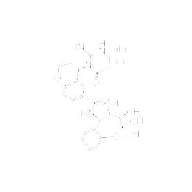 CC(C)[C@]1(C)CC(=O)N([C@@H]2CCOc3ccc(C(=O)N[C@@H]4c5ccccc5OC(C)(C)[C@H](C)C4O)cc32)C(=N)N1